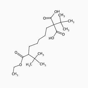 CCOC(=O)C(CCCCCC(C(=O)O)(C(=O)O)C(C)(C)C)C(C)(C)C